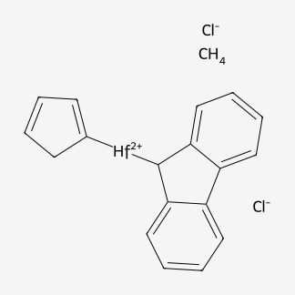 C.C1=CC[C]([Hf+2][CH]2c3ccccc3-c3ccccc32)=C1.[Cl-].[Cl-]